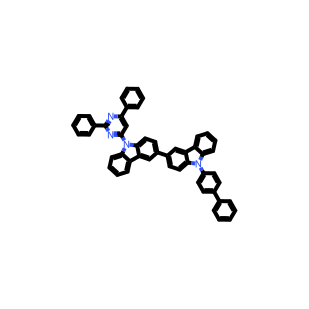 c1ccc(-c2ccc(-n3c4ccccc4c4cc(-c5ccc6c(c5)c5ccccc5n6-c5cc(-c6ccccc6)nc(-c6ccccc6)n5)ccc43)cc2)cc1